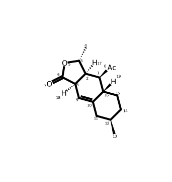 CC(=O)[C@@H]1[C@@H]2[C@@H](C)OC(=O)[C@@H]2C=C2C[C@H](C)CC[C@H]21